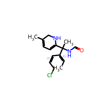 C/C=C(\C=C/CCl)C(C)(NC=O)C1=CC=C(C)CN1